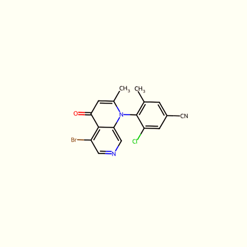 Cc1cc(C#N)cc(Cl)c1-n1c(C)cc(=O)c2c(Br)cncc21